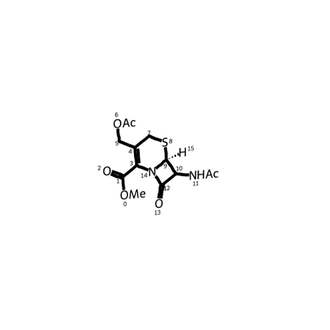 COC(=O)C1=C(COC(C)=O)CS[C@H]2C(NC(C)=O)C(=O)N12